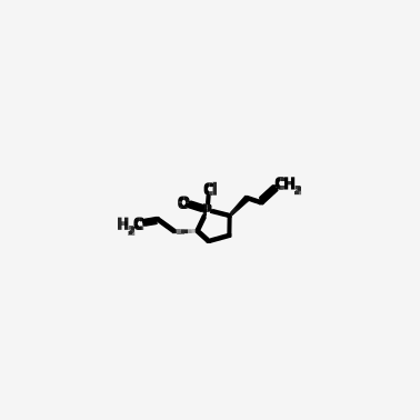 C=CC[C@H]1CC[C@H](CC=C)P1(=O)Cl